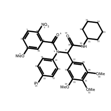 COc1ccc([N+](=O)[O-])c(C(=O)N(c2ccc(C(C)C)cc2)C(C(=O)NC2CCCCC2)c2cc(OC)c(OC)c(OC)c2)c1